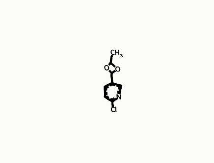 CC1OC(c2ccc(Cl)nc2)O1